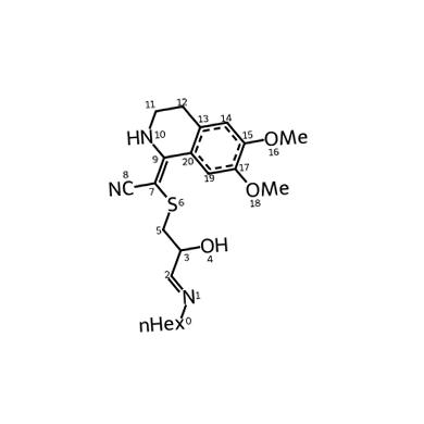 CCCCCCN=CC(O)CSC(C#N)=C1NCCc2cc(OC)c(OC)cc21